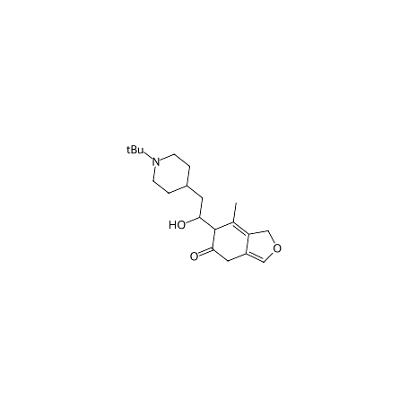 CC1=C2COC=C2CC(=O)C1C(O)CC1CCN(C(C)(C)C)CC1